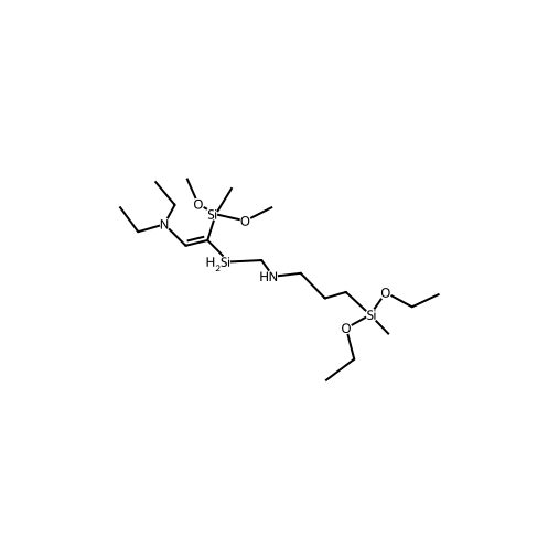 CCO[Si](C)(CCCNC[SiH2]C(=CN(CC)CC)[Si](C)(OC)OC)OCC